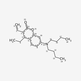 C=Cc1c(CC)c2ccc(N(CCCC)CCCC)cc2oc1=O